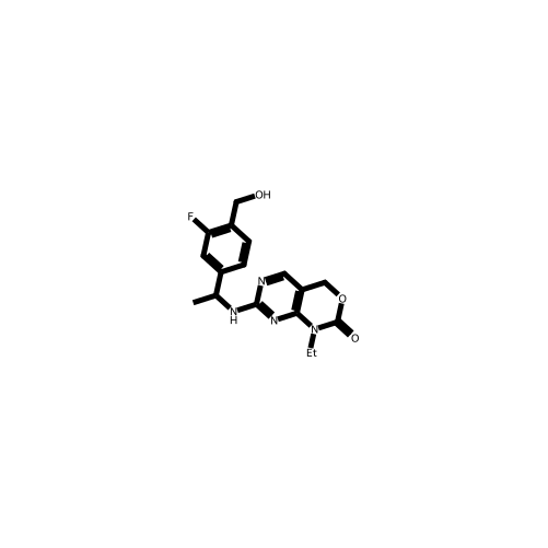 CCN1C(=O)OCc2cnc(NC(C)c3ccc(CO)c(F)c3)nc21